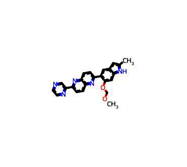 COCOc1cc2[nH]c(C)cc2cc1-c1ccc2nc(-c3cnccn3)ccc2n1